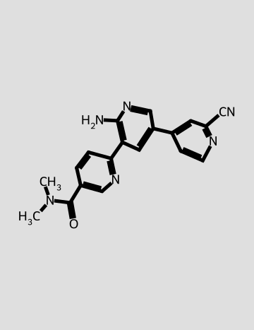 CN(C)C(=O)c1ccc(-c2cc(-c3ccnc(C#N)c3)cnc2N)nc1